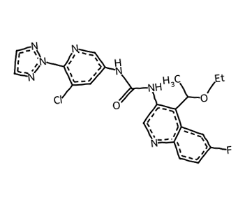 CCOC(C)c1c(NC(=O)Nc2cnc(-n3nccn3)c(Cl)c2)cnc2ccc(F)cc12